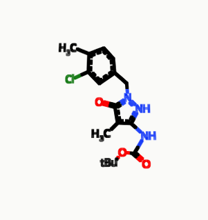 Cc1ccc(Cn2[nH]c(NC(=O)OC(C)(C)C)c(C)c2=O)cc1Cl